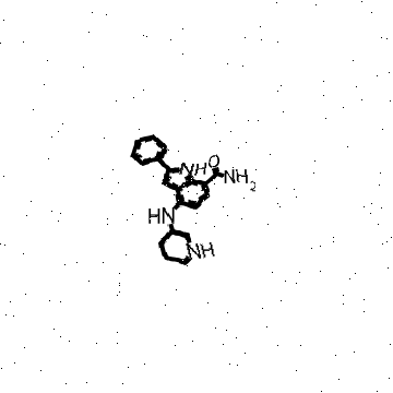 NC(=O)c1ccc(NC2CCCNC2)c2cc(-c3ccccc3)[nH]c12